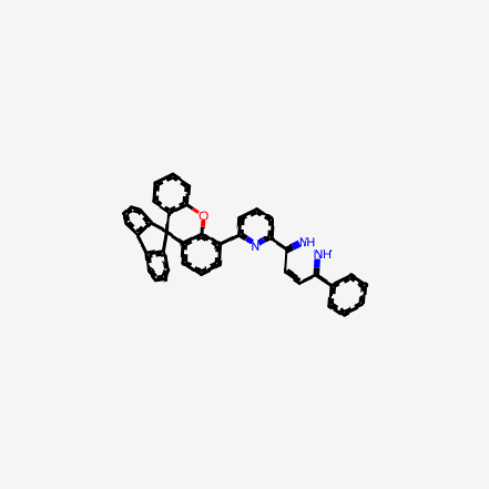 N=C(/C=C\C(=N)c1cccc(-c2cccc3c2Oc2ccccc2C32c3ccccc3-c3ccccc32)n1)c1ccccc1